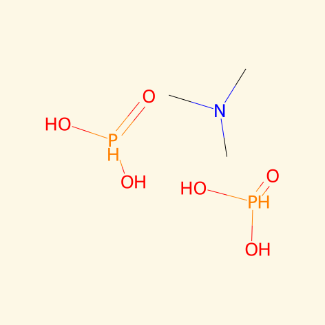 CN(C)C.O=[PH](O)O.O=[PH](O)O